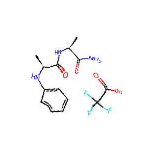 C[C@H](NC(=O)[C@H](C)Nc1ccccc1)C(N)=O.O=C(O)C(F)(F)F